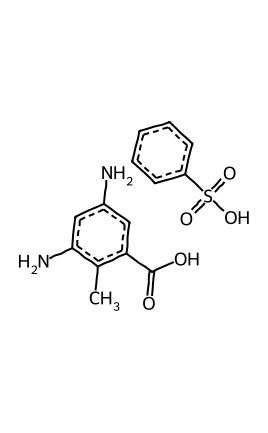 Cc1c(N)cc(N)cc1C(=O)O.O=S(=O)(O)c1ccccc1